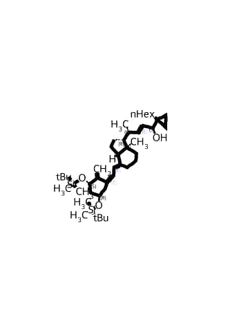 C=C1/C(=C\C=C2/CCC[C@]3(C)[C@@H]([C@H](C)/C=C/[C@H](O)C4(CCCCCC)CC4)CC[C@@H]23)C[C@@H](O[Si](C)(C)C(C)(C)C)C[C@@H]1O[Si](C)(C)C(C)(C)C